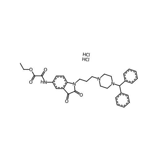 CCOC(=O)C(=O)Nc1ccc2c(c1)C(=O)C(=O)N2CCCN1CCN(C(c2ccccc2)c2ccccc2)CC1.Cl.Cl